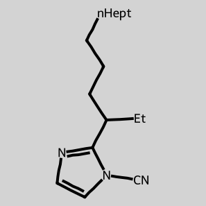 CCCCCCCCCCC(CC)c1nccn1C#N